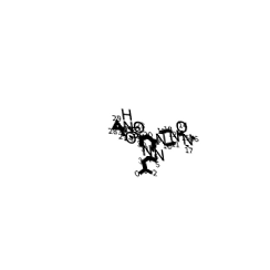 CC(C)=Cc1cnc2c(N3CCN(C(=O)N(C)C)CC3)cc(S(=O)(=O)NC3(C)CC3)cn12